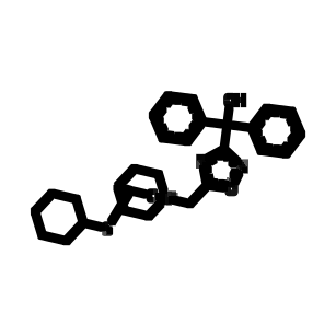 OC(c1ccccc1)(c1ccccc1)c1noc(C[N+]23CCC(CC2)C(SC2CCCCC2)C3)n1